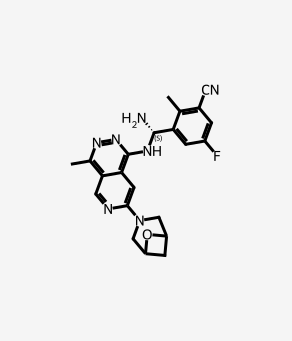 Cc1c(C#N)cc(F)cc1[C@@H](N)Nc1nnc(C)c2cnc(N3CC4CC(C3)O4)cc12